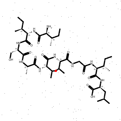 CC[C@H](C)[C@H](N)C(=O)N[C@H](C(=O)N[C@@H](CO)C(=O)N[C@@H](C)C(=O)N[C@H](C(=O)N[C@H](C(=O)NCC(=O)N[C@H](C(=O)N[C@@H](CC(C)C)C(=O)O)[C@@H](C)CC)C(C)C)C(C)C)[C@@H](C)CC